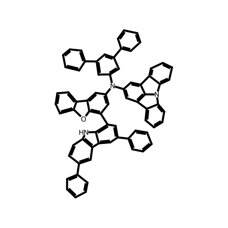 c1ccc(-c2cc(-c3ccccc3)cc(N(c3cc(-c4cc(-c5ccccc5)cc5c4[nH]c4ccc(-c6ccccc6)cc45)c4oc5ccccc5c4c3)c3cc4c5ccccc5n5c6ccccc6c(c3)c45)c2)cc1